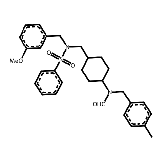 COc1cccc(CN(CC2CCC(N(C=O)Cc3ccc(C)cc3)CC2)S(=O)(=O)c2ccccc2)c1